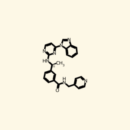 C[C@H](Nc1nccc(-n2cnc3ccccc32)n1)c1cccc(C(=O)NCc2ccncc2)c1